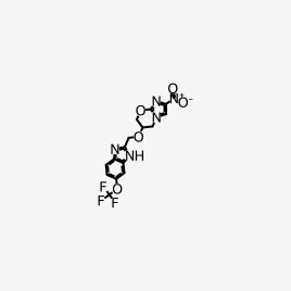 O=[N+]([O-])c1cn2c(n1)OCC(OCc1nc3ccc(OC(F)(F)F)cc3[nH]1)C2